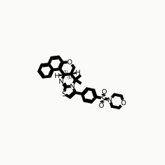 CC1(C)[C@H]2COc3ccc4ccccc4c3[C@H]2N=C2SC=C(c3ccc(S(=O)(=O)N4CCOCC4)cc3)N21